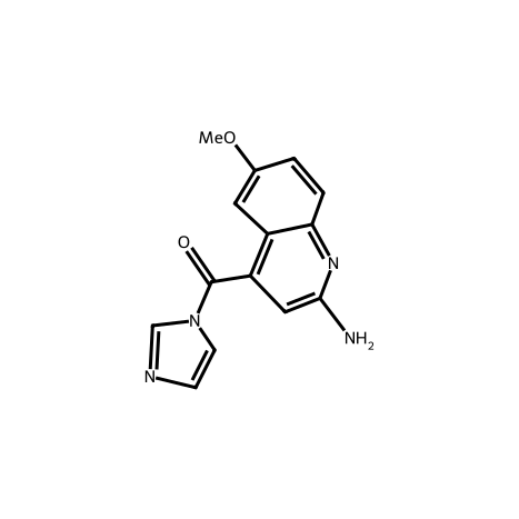 COc1ccc2nc(N)cc(C(=O)n3ccnc3)c2c1